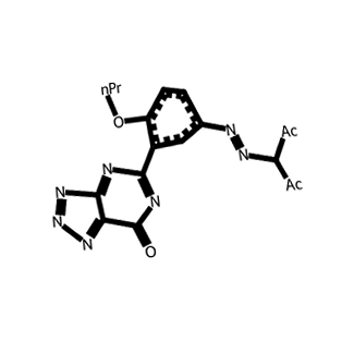 CCCOc1ccc(N=NC(C(C)=O)C(C)=O)cc1C1=NC(=O)C2=NN=NC2=N1